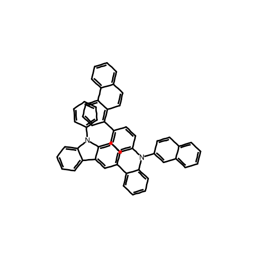 c1ccc(-n2c3ccccc3c3cc(-c4ccccc4N(c4ccc(-c5cccc6c5ccc5ccccc56)cc4)c4ccc5ccccc5c4)ccc32)cc1